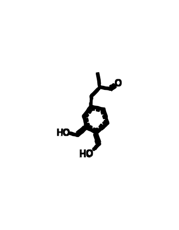 CC(C=O)Cc1ccc(=CO)c(=CO)c1